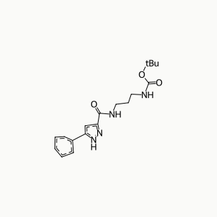 CC(C)(C)OC(=O)NCCCNC(=O)c1cc(-c2ccccc2)[nH]n1